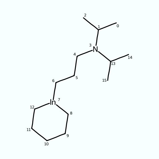 CC(C)N(CC[CH2][In]1[CH2]CCC[CH2]1)C(C)C